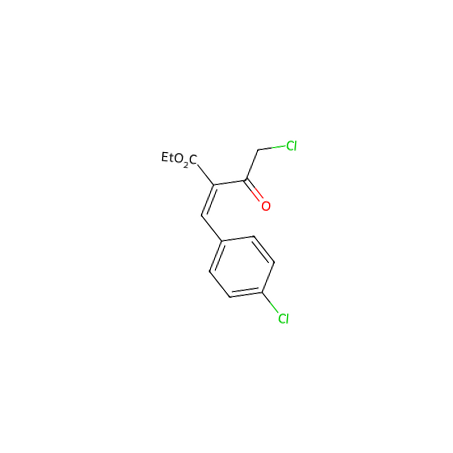 CCOC(=O)C(=Cc1ccc(Cl)cc1)C(=O)CCl